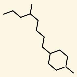 CCCC(C)CCCCC1CCN(C)CC1